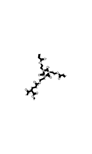 C=CC(=O)OCCn1c(=O)n(CCOC(=O)C=C)c(=O)n(CCOC(=O)CCC(C(C)=O)C(=O)OC)c1=O